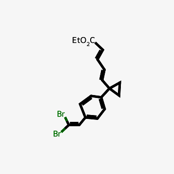 CCOC(=O)/C=C/C=C/C1(c2ccc(C=C(Br)Br)cc2)CC1